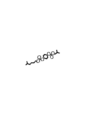 CC(C)CCCCOC(=O)OC1CCC(OC(=O)OCC(C)C)CC1